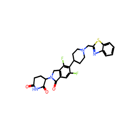 O=C1CCC(N2Cc3c(cc(F)c(C4CCN(Cc5nc6ccccc6s5)CC4)c3F)C2=O)C(=O)N1